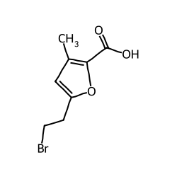 Cc1cc(CCBr)oc1C(=O)O